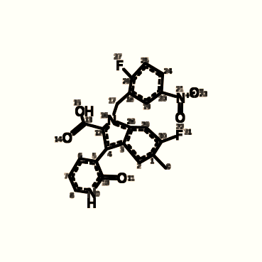 Cc1cc2c(-c3ccc[nH]c3=O)c(C(=O)O)n(Cc3cc([N+](=O)[O-])ccc3F)c2cc1F